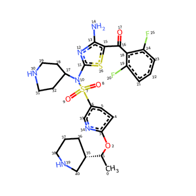 CC(Oc1ccc(S(=O)(=O)N(c2nc(N)c(C(=O)c3c(F)cccc3F)s2)C2CCNCC2)cn1)[C@H]1CCCNC1